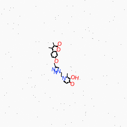 Cc1c(C)c2ccc(OCc3cn(CCn4ccc(=O)c(O)c4C)nn3)cc2oc1=O